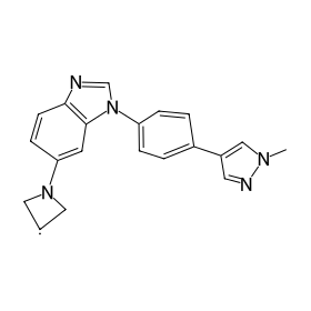 Cn1cc(-c2ccc(-n3cnc4ccc(N5C[CH]C5)cc43)cc2)cn1